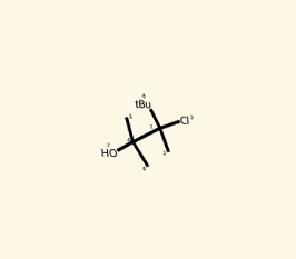 CC(C)(C)C(C)(Cl)C(C)(C)O